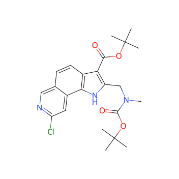 CN(Cc1[nH]c2c(ccc3cnc(Cl)cc32)c1C(=O)OC(C)(C)C)C(=O)OC(C)(C)C